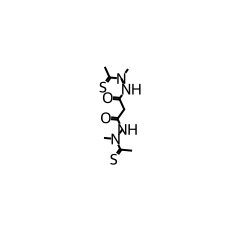 CC(=S)N(C)NC(=O)CC(=O)NN(C)C(C)=S